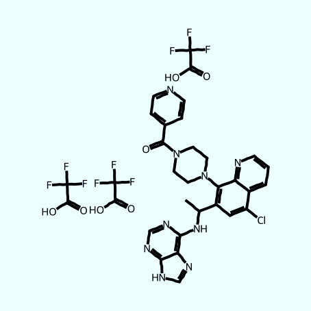 CC(Nc1ncnc2[nH]cnc12)c1cc(Cl)c2cccnc2c1N1CCN(C(=O)c2ccncc2)CC1.O=C(O)C(F)(F)F.O=C(O)C(F)(F)F.O=C(O)C(F)(F)F